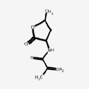 C=C(C)C(=O)NC1CC(C)OC1=O